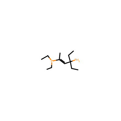 CCP(CC)/C(C)=C/C(P)(CC)CC